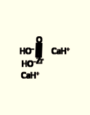 [CaH+].[CaH+].[OH-].[OH-].[O]=[Zr]